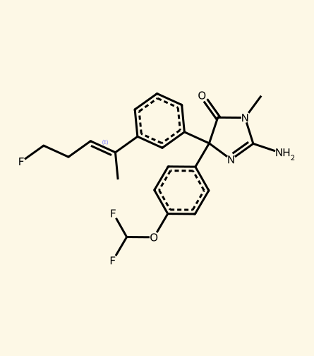 C/C(=C\CCF)c1cccc(C2(c3ccc(OC(F)F)cc3)N=C(N)N(C)C2=O)c1